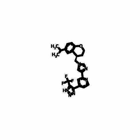 CC(C)c1ccc2c(c1)[C@H](Cn1cnc(-c3cc(-c4nn[nH]c4C(F)(F)F)ccn3)c1)CCO2